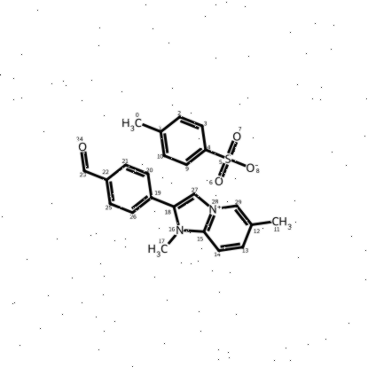 Cc1ccc(S(=O)(=O)[O-])cc1.Cc1ccc2n(C)c(-c3ccc(C=O)cc3)c[n+]2c1